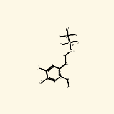 CCc1cc(Cl)c(Cl)cc1CCO[Si](C)(C)C(C)(C)C